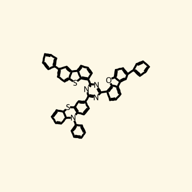 C1=CC2Sc3cc(-c4nc(-c5cccc6c5oc5ccc(-c7ccccc7)cc56)nc(-c5cccc6c5sc5ccc(-c7ccccc7)cc56)n4)ccc3N(c3ccccc3)C2C=C1